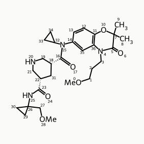 COCCCN1C(=O)C(C)(C)Oc2ccc(N(C(=O)[C@H]3CNC[C@@H](C(=O)NC4(COC)CC4)C3)C3CC3)cc21